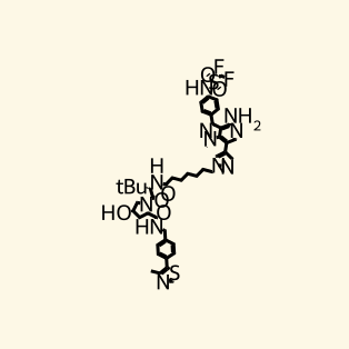 Cc1ncsc1-c1ccc(CNC(=O)C2C[C@@H](O)CN2C(=O)[C@@H](NC(=O)CCCCCCn2cc(-c3cnc(N)c4c(-c5ccc(NS(=O)(=O)C(F)F)cc5)nn(C)c34)cn2)C(C)(C)C)cc1